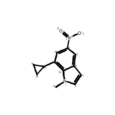 Cn1ccc2cc([N+](=O)[O-])cc(C3CC3)c21